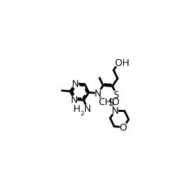 CC(=C(CCO)SSN1CCOCC1)N(C=O)c1cnc(C)nc1N